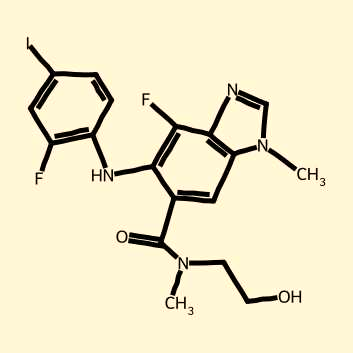 CN(CCO)C(=O)c1cc2c(ncn2C)c(F)c1Nc1ccc(I)cc1F